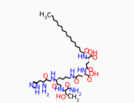 CCCCCCCCCCCCCCCC(=O)N[C@@H](CCC(=O)N[C@@H](CCC(=O)NCCCC[C@H](NCC(=O)[C@@H](N)Cc1cnc[nH]1)C(=O)CNC(C(N)=O)[C@@H](C)O)C(=O)O)C(=O)O